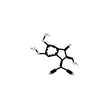 C/C=C1/C(=O)c2cc(OC)c(OC)cc2C1=C(C#N)C#N